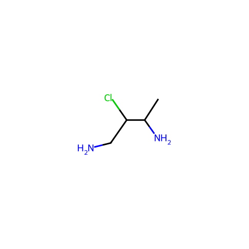 CC(N)C(Cl)CN